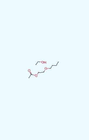 CCCCOCCOC(C)=O.CCO